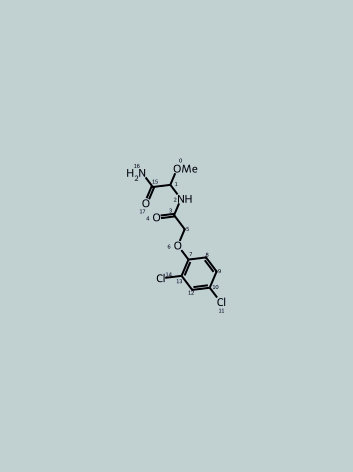 COC(NC(=O)COc1ccc(Cl)cc1Cl)C(N)=O